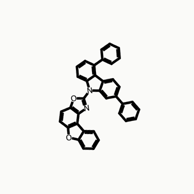 c1ccc(-c2ccc3c4c(-c5ccccc5)cccc4n(-c4nc5c(ccc6oc7ccccc7c65)o4)c3c2)cc1